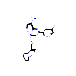 CN(C)c1cnn2c(NCCc3c[nH]c4ccccc34)cc(-c3cncc(F)c3)nc12